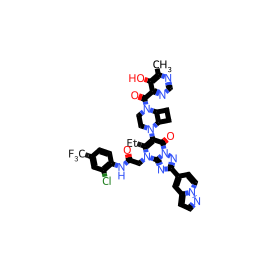 CCc1c(N2CCN(C(=O)c3ncnc(C)c3O)C3CCC32)c(=O)n2nc(-c3ccn4nccc4c3)nc2n1CC(=O)Nc1ccc(C(F)(F)F)cc1Cl